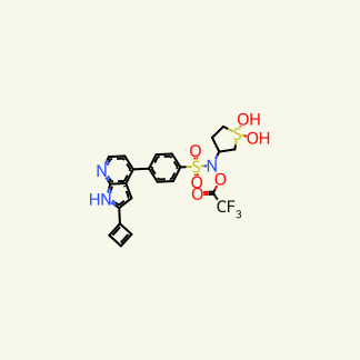 O=C(ON(C1CCS(O)(O)C1)S(=O)(=O)c1ccc(-c2ccnc3[nH]c(C4=CC=C4)cc23)cc1)C(F)(F)F